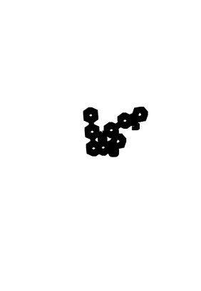 c1ccc(-c2ccc(-c3ccccc3)c(N(c3ccc(-c4ccc5c(c4)sc4ccccc45)cc3)c3cccc4oc5ccccc5c34)c2)cc1